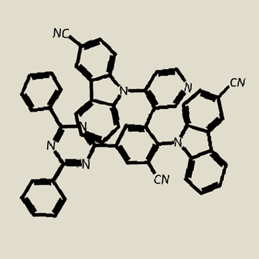 N#Cc1ccc2c(c1)c1ccccc1n2-c1ccncc1-c1cc(-c2nc(-c3ccccc3)nc(-c3ccccc3)n2)cc(C#N)c1-n1c2ccccc2c2cc(C#N)ccc21